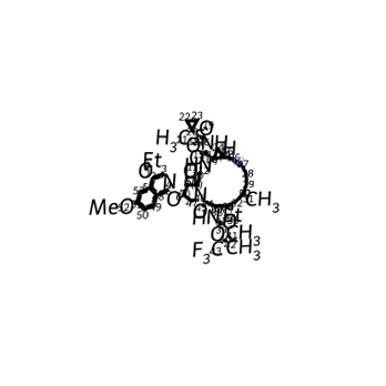 CCOc1cnc(O[C@@H]2C[C@H]3C(=O)N[C@]4(C(=O)NS(=O)(=O)C5(C)CC5)C[C@H]4/C=C\CC[C@H](C)C[C@@H](CC)[C@H](NC(=O)OC(C)(C)C(F)(F)F)C(=O)N3C2)c2ccc(OC)cc12